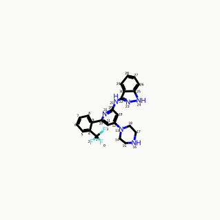 FC(F)(F)c1ccccc1-c1cc(N2CCNCC2)cc(Nc2n[nH]c3ccccc23)n1